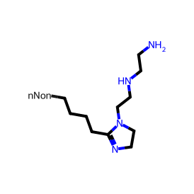 CCCCCCCCCCCCCC1=NCCN1CCNCCN